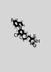 O=c1ncc(CN2CCOc3c(Cl)cc(-n4ccc5cc(F)ccc54)cc3C2)c(F)[nH]1